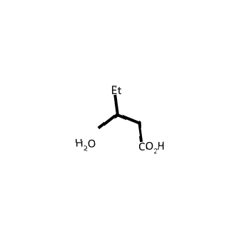 CCC(C)CC(=O)O.O